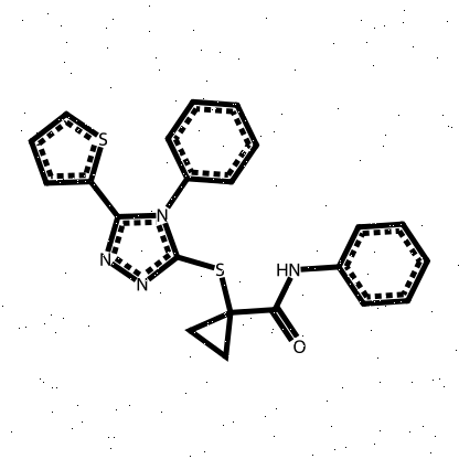 O=C(Nc1ccccc1)C1(Sc2nnc(-c3cccs3)n2-c2ccccc2)CC1